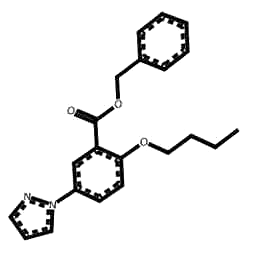 CCCCOc1ccc(-n2cccn2)cc1C(=O)OCc1ccccc1